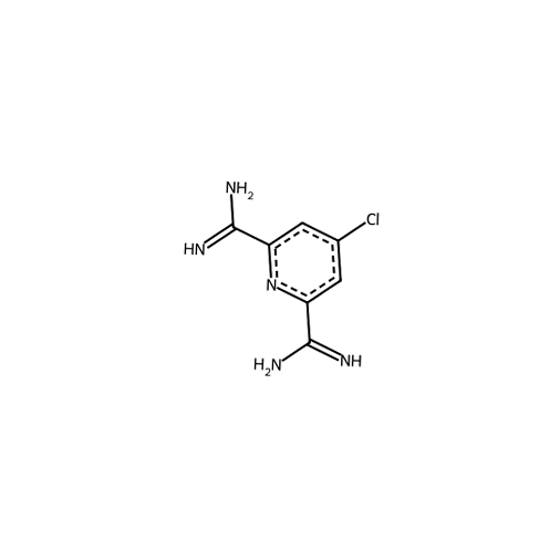 N=C(N)c1cc(Cl)cc(C(=N)N)n1